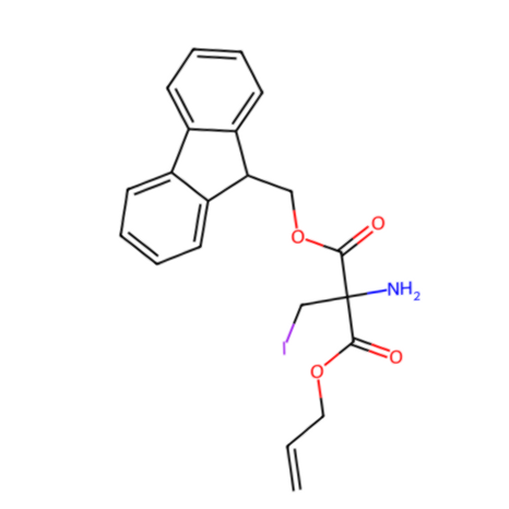 C=CCOC(=O)C(N)(CI)C(=O)OCC1c2ccccc2-c2ccccc21